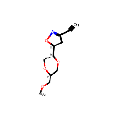 C#CC1=NO[C@H]([C@H]2CO[C@H](COCCCC)CO2)C1